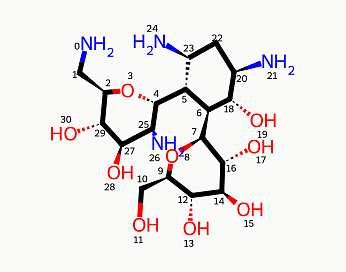 NC[C@H]1O[C@H]([C@H]2[C@H]([C@@H]3O[C@H](CO)[C@@H](O)[C@H](O)[C@H]3O)[C@@H](O)[C@H](N)C[C@@H]2N)[C@H](N)[C@@H](O)[C@@H]1O